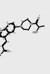 CC(O)C(=O)N1CCN(c2cnc3[nH]cc(C=CC(N)=O)c3c2)CC1